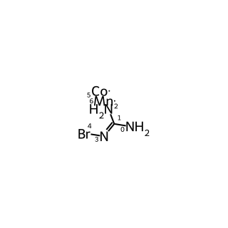 NC(N)=NBr.[Co].[Mn]